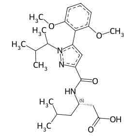 COc1cccc(OC)c1-c1cc(C(=O)N[C@H](CC(=O)O)CC(C)C)nn1C(C)C(C)C